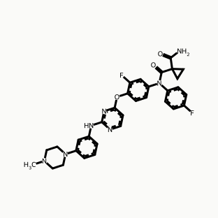 CN1CCN(c2cccc(Nc3nccc(Oc4ccc(N(C(=O)C5(C(N)=O)CC5)c5ccc(F)cc5)cc4F)n3)c2)CC1